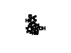 Cc1cn([C@H]2C[C@@H](O)[C@](CO)(C(=O)c3ccccc3)O2)c(=O)[nH]c1=O